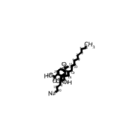 C1CO1.CCCCCCCCCCCCCCCCC[CH2][Na].O=C(O)c1ccccc1C(=O)O